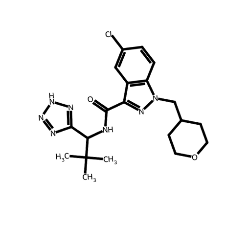 CC(C)(C)C(NC(=O)c1nn(CC2CCOCC2)c2ccc(Cl)cc12)c1nn[nH]n1